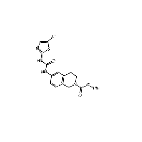 Cc1cnc(NC(=O)Nc2ccc3c(c2)CCN(C(=O)OC(C)(C)C)C3)s1